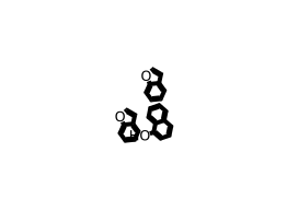 Oc1cccc2ccccc12.c1ccc2occc2c1.c1ccc2occc2c1